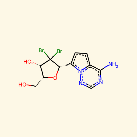 Nc1ncnn2c([C@@H]3O[C@H](CO)[C@H](O)C3(Br)Br)ccc12